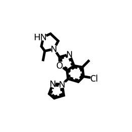 Cc1c(Cl)cc(-n2cccn2)c2oc(N3CCNCC3C)nc12